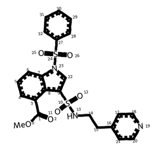 COC(=O)c1cccc2c1c(S(=O)(=O)NCCc1ccncc1)cn2S(=O)(=O)c1ccccc1